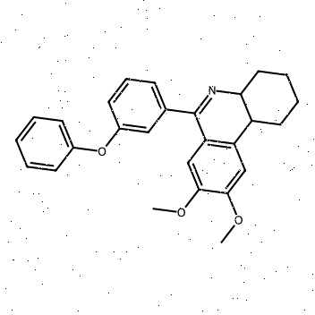 COc1cc2c(cc1OC)C1CCCCC1N=C2c1cccc(Oc2ccccc2)c1